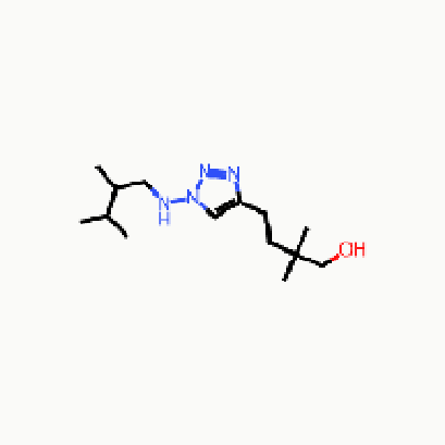 CC(C)C(C)CNn1cc(CCC(C)(C)CO)nn1